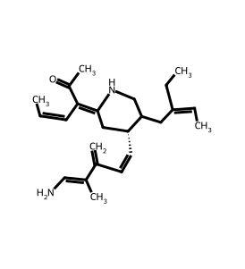 C=C(/C=C\[C@@H]1C/C(=C(\C=C/C)C(C)=O)NCC1C/C(=C\C)CC)/C(C)=C/N